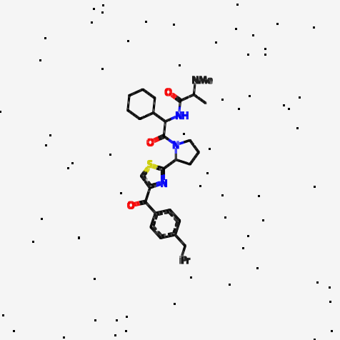 CNC(C)C(=O)NC(C(=O)N1CCCC1c1nc(C(=O)c2ccc(CC(C)C)cc2)cs1)C1CCCCC1